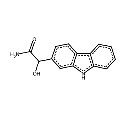 NC(=O)C(O)c1ccc2c(c1)[nH]c1ccccc12